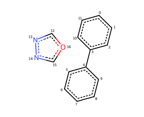 c1ccc(-c2ccccc2)cc1.c1nnco1